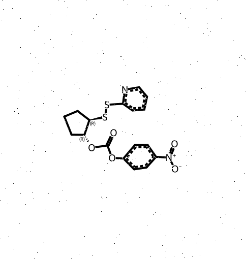 O=C(Oc1ccc([N+](=O)[O-])cc1)O[C@@H]1CCC[C@H]1SSc1ccccn1